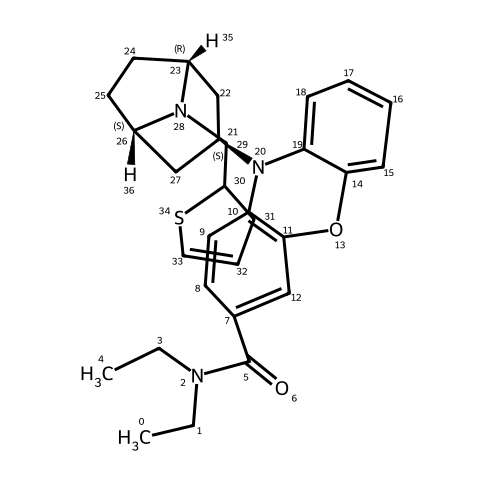 CCN(CC)C(=O)c1ccc2c(c1)Oc1ccccc1N2[C@@H]1C[C@H]2CC[C@@H](C1)N2CC1CC=CS1